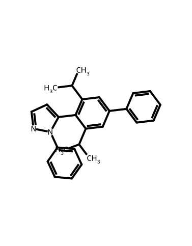 CC(C)c1cc(-c2ccccc2)cc(C(C)C)c1-c1ccnn1-c1ccccc1